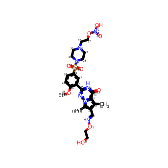 CCCc1c(/C=N/OCCO)c(C)c2c(=O)[nH]c(-c3cc(S(=O)(=O)N4CCN(CCO[N+](=O)O)CC4)ccc3OCC)nn12